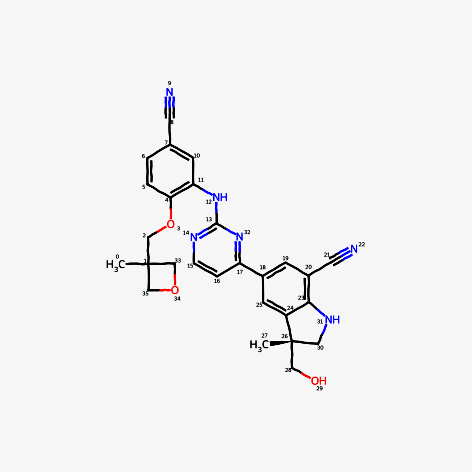 CC1(COc2ccc(C#N)cc2Nc2nccc(-c3cc(C#N)c4c(c3)[C@@](C)(CO)CN4)n2)COC1